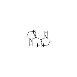 C1CNC(C2NCCN2)=N1